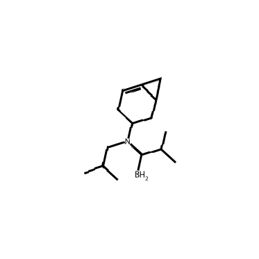 BC(C(C)C)N(CC(C)C)C1CC=C2CC2C1